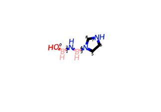 OBNBN1CCNC1